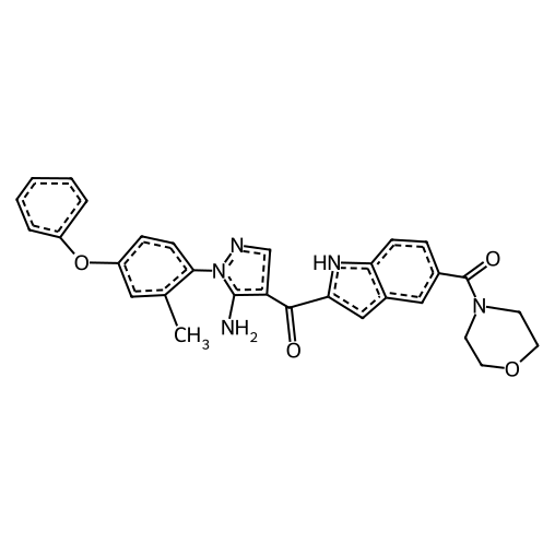 Cc1cc(Oc2ccccc2)ccc1-n1ncc(C(=O)c2cc3cc(C(=O)N4CCOCC4)ccc3[nH]2)c1N